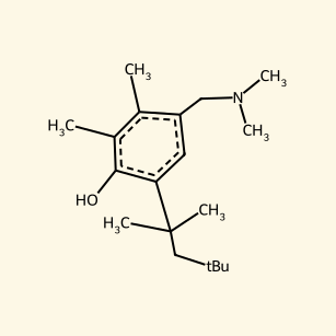 Cc1c(CN(C)C)cc(C(C)(C)CC(C)(C)C)c(O)c1C